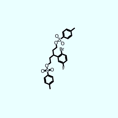 Cc1ccc(S(=O)(=O)OCCC(CCOS(=O)(=O)c2ccc(C)cc2)c2cc(F)ccc2Br)cc1